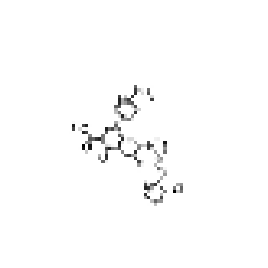 Nc1ccc(-n2cc(C(=O)O)c(=O)c3cc(F)c(N4CCC[C@@H]4COc4ncccc4Cl)cc32)cn1